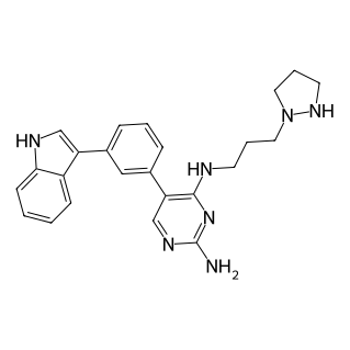 Nc1ncc(-c2cccc(-c3c[nH]c4ccccc34)c2)c(NCCCN2CCCN2)n1